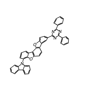 c1ccc(-c2nc(-c3ccccc3)nc(-c3ccc4oc5c(ccc6oc7c(-n8c9ccccc9c9ccccc98)cccc7c65)c4c3)n2)cc1